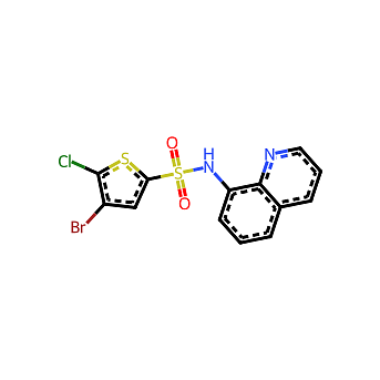 O=S(=O)(Nc1cccc2cccnc12)c1cc(Br)c(Cl)s1